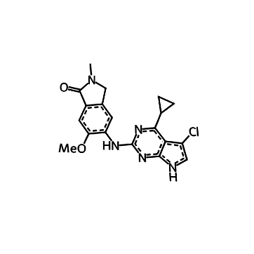 COc1cc2c(cc1Nc1nc(C3CC3)c3c(Cl)c[nH]c3n1)CN(C)C2=O